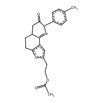 CC(=O)OCCc1cc2c(s1)CCC1CC(=O)N(c3ccc(C)cc3)N=C21